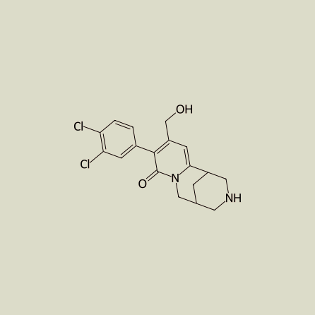 O=c1c(-c2ccc(Cl)c(Cl)c2)c(CO)cc2n1CC1CNCC2C1